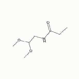 CCC(=O)NCC(OC)OC